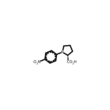 O=C(O)[C@@H]1CCCN1c1ccc([N+](=O)[O-])cc1